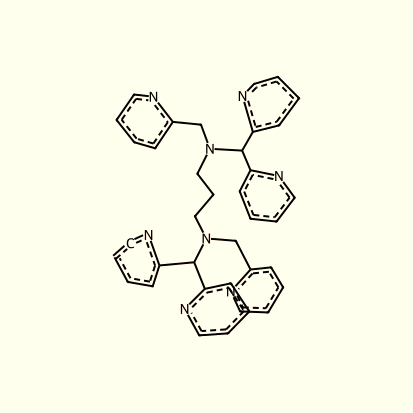 c1ccc(CN(CCCN(Cc2ccccn2)C(c2ccccn2)c2ccccn2)C(c2ccccn2)c2ccccn2)nc1